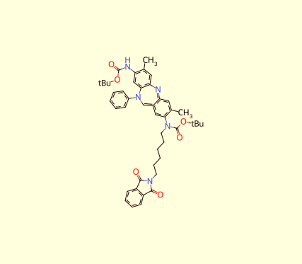 Cc1cc2c(cc1NC(=O)OC(C)(C)C)N(c1ccccc1)C=c1cc(N(CCCCCCN3C(=O)c4ccccc4C3=O)C(=O)OC(C)(C)C)c(C)cc1=N2